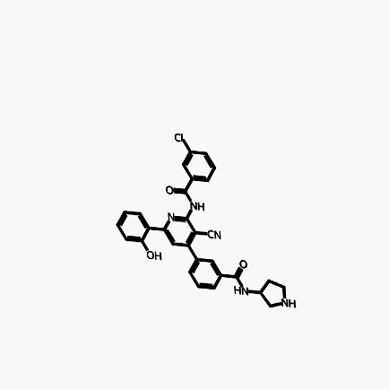 N#Cc1c(-c2cccc(C(=O)NC3CCNC3)c2)cc(-c2ccccc2O)nc1NC(=O)c1cccc(Cl)c1